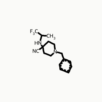 CC(NC1(C#N)CCN(Cc2ccccc2)CC1)C(F)(F)F